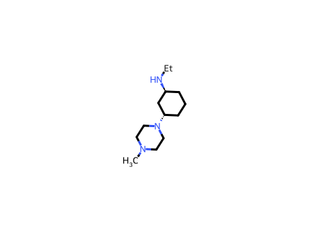 CCN[C@H]1CCC[C@H](N2CCN(C)CC2)C1